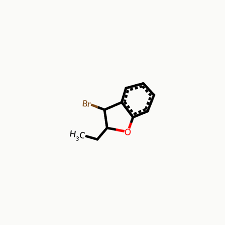 CCC1Oc2ccccc2C1Br